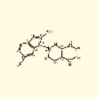 Fc1ccc2nc(S)n(N3CCC4OCCOC4C3)c2c1